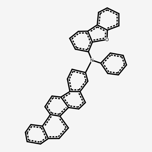 c1ccc(N(c2ccc3c(ccc4c3ccc3c5ccccc5ccc34)c2)c2cccc3c2oc2ccccc23)cc1